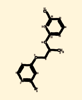 CC(COc1ccnc(Br)c1)Oc1cccc(Cl)n1